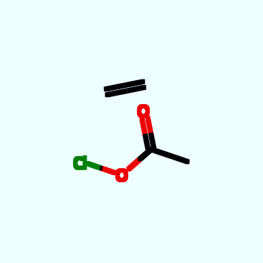 C=C.CC(=O)OCl